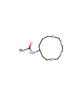 CC(C)(C)C(=O)NC1CCCCCCCCCCCC1